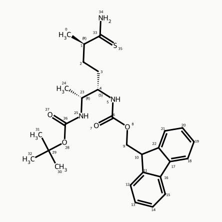 C[C@H](CC[C@H](NC(=O)OCC1c2ccccc2-c2ccccc21)[C@@H](C)NC(=O)OC(C)(C)C)C(N)=S